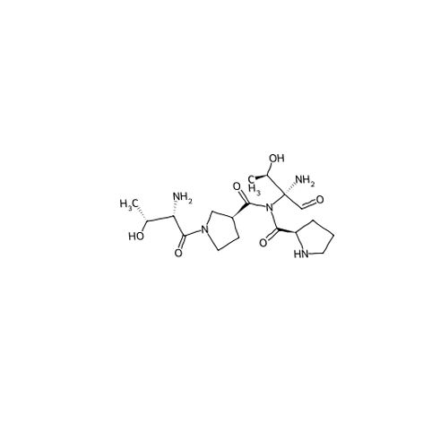 C[C@@H](O)[C@H](N)C(=O)N1CC[C@H](C(=O)N(C(=O)[C@H]2CCCN2)[C@](N)(C=O)[C@@H](C)O)C1